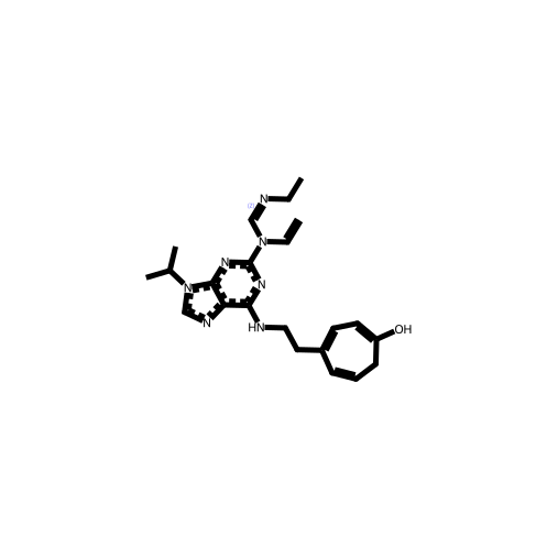 C=CN(/C=N\CC)c1nc(NCCC2=CC=C(O)CC=C2)c2ncn(C(C)C)c2n1